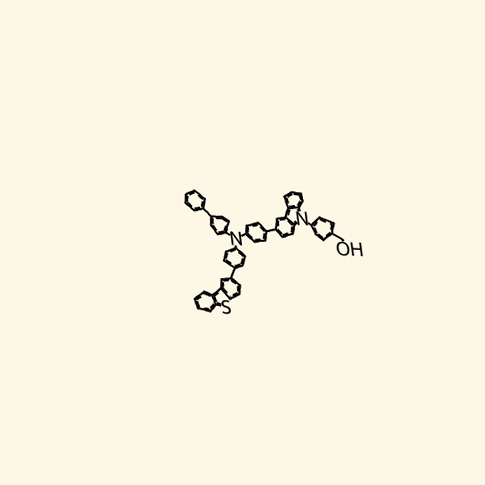 OCc1ccc(-n2c3ccccc3c3cc(-c4ccc(N(c5ccc(-c6ccccc6)cc5)c5ccc(-c6ccc7sc8ccccc8c7c6)cc5)cc4)ccc32)cc1